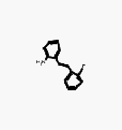 Nc1ccccc1CCc1ccccc1F